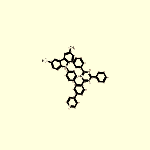 Cc1ccc2c(c1)c1cc(C)ccc1n2-c1ccc(-c2cc(-c3ccncc3)ccc2-c2nc(-c3ccccc3)nc(-c3ccccc3)n2)cc1